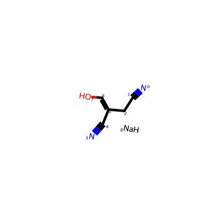 N#CCC(C#N)=CO.[NaH]